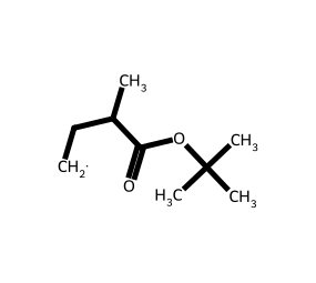 [CH2]CC(C)C(=O)OC(C)(C)C